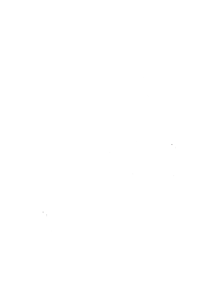 COc1cc(OC)cc(C2CN3CCCC3c3cc(OCCCN4CCCCC4)ccc32)c1